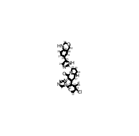 O=C1C=C(c2c(-n3cnnn3)ccc(Cl)c2F)C[C@@H]2CC[C@@H](c3ncc(-c4ccc5c(c4)COCN5)[nH]3)N12